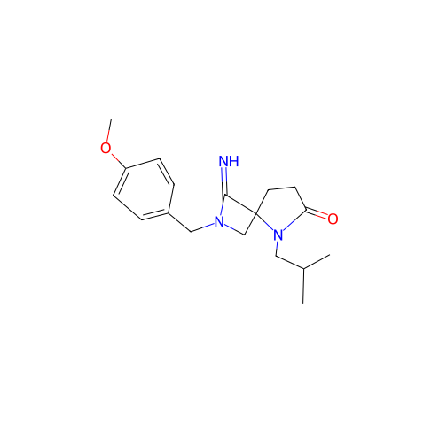 COc1ccc(CN2CC3(CCC(=O)N3CC(C)C)C2=N)cc1